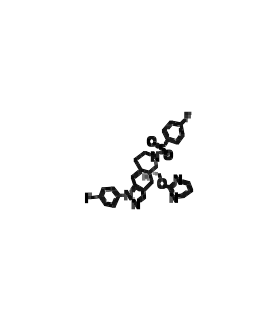 O=S(=O)(c1ccc(F)cc1)N1CCC2=Cc3c(cnn3-c3ccc(F)cc3)C[C@]2(COc2ncccn2)C1